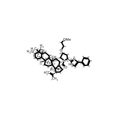 C=C(C)[C@@H]1CC[C@]2(C(=O)N3C[C@H](OCCOC)C[C@H]3c3nc(-c4ccccc4)c[nH]3)CC[C@]3(C)[C@H](CC[C@@H]4[C@@]5(C)CC[C@H](C)C(C)(C)[C@@H]5CC[C@]43C)[C@@H]12